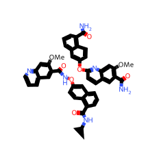 COc1cc2nc(Oc3ccc4c(C(N)=O)cccc4c3)ccc2cc1C(N)=O.COc1cc2ncccc2cc1C(=O)NOc1ccc2c(C(=O)NC3CC3)cccc2c1